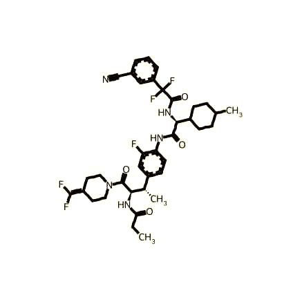 CCC(=O)N[C@@H](C(=O)N1CCC(=C(F)F)CC1)[C@@H](C)c1ccc(NC(=O)[C@@H](NC(=O)C(F)(F)c2cccc(C#N)c2)C2CCC(C)CC2)c(F)c1